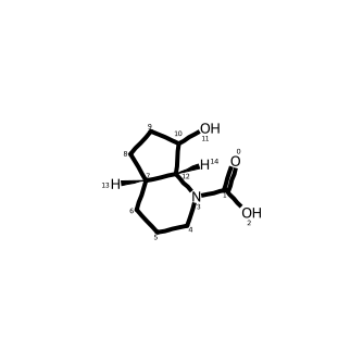 O=C(O)N1CCC[C@@H]2CCC(O)[C@@H]21